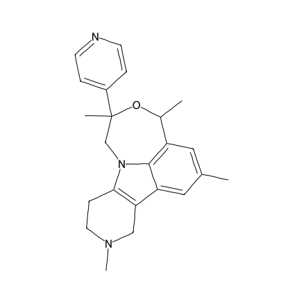 Cc1cc2c3c(c1)c1c(n3CC(C)(c3ccncc3)OC2C)CCN(C)C1